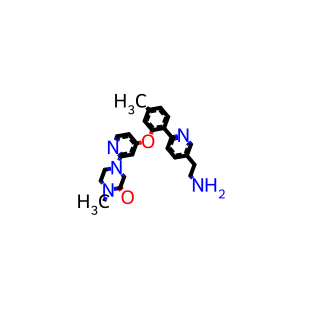 Cc1ccc(-c2ccc(CCN)cn2)c(Oc2ccnc(N3CCN(C)C(=O)C3)c2)c1